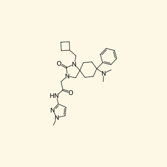 CN(C)C1(c2ccccc2)CCC2(CC1)CN(CC(=O)Nc1ccn(C)n1)C(=O)N2CC1CCC1